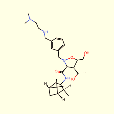 C[C@H](O)[C@@H]1[C@H](CO)ON(Cc2cccc(CNCCN(C)C)c2)[C@@H]1C(=O)NC1C[C@H]2C[C@@H]([C@@H]1C)C2(C)C